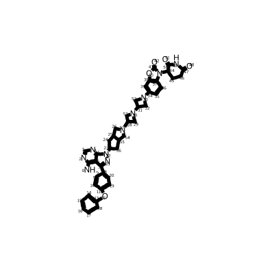 Nc1ncnc2c1c(-c1ccc(Oc3ccccc3)cc1)nn2C1CC2CN(C3CN(C4CN(c5ccc6c(c5)oc(=O)n6C5CCC(=O)NC5=O)C4)C3)CC2C1